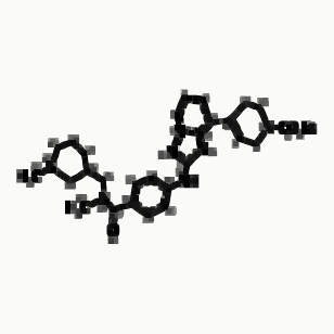 CCOC(=O)N1CC=C(c2cccn3nc(Nc4ccc(C(=O)N(C)CC5CCCN(C)C5)cc4)nc23)CC1